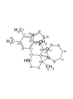 Cc1cc(C)c(C2NCCC(C)(N3CCCCCC3)C2C(=O)c2cncs2)cc1C